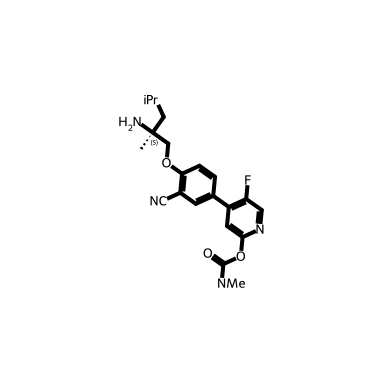 CNC(=O)Oc1cc(-c2ccc(OC[C@@](C)(N)CC(C)C)c(C#N)c2)c(F)cn1